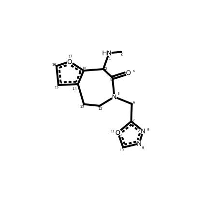 CNC1C(=O)N(Cc2nnco2)CCc2ccoc21